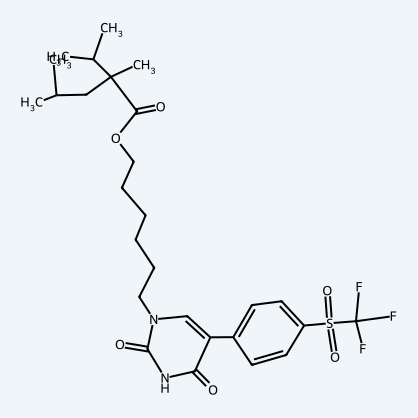 CC(C)CC(C)(C(=O)OCCCCCCn1cc(-c2ccc(S(=O)(=O)C(F)(F)F)cc2)c(=O)[nH]c1=O)C(C)C